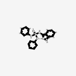 O=P(Oc1ccccc1)(Oc1ccccc1)Oc1onc2ccccc12